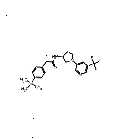 C[Si](C)(C)c1ccc(CC(=O)NC2CCN(c3cncc(C(F)(F)F)c3)C2)cc1